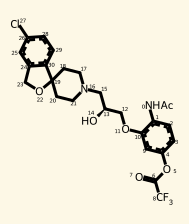 CC(=O)Nc1ccc(OC(=O)C(F)(F)F)cc1OC[C@@H](O)CN1CCC2(CC1)OCc1cc(Cl)ccc12